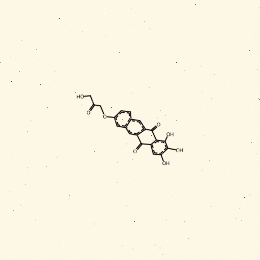 O=C(CO)COc1ccc2cc3c(cc2c1)C(=O)c1cc(O)c(O)c(O)c1C3=O